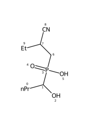 CCCC(O)P(=O)(O)CC(C#N)CC